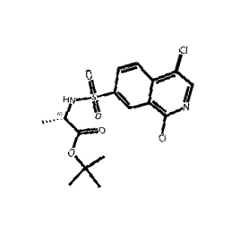 C[C@H](NS(=O)(=O)c1ccc2c(Cl)cnc(Cl)c2c1)C(=O)OC(C)(C)C